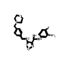 Bc1cc(NC(=N)c2nonc2NCc2ccc(CN3CCOCC3)cc2)ccc1F